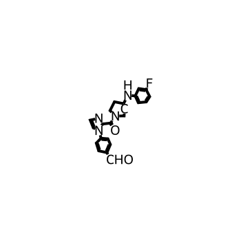 O=Cc1ccc(-n2ccnc2C(=O)N2CCC(Nc3cccc(F)c3)CC2)cc1